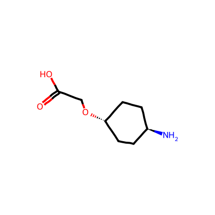 N[C@H]1CC[C@H](OCC(=O)O)CC1